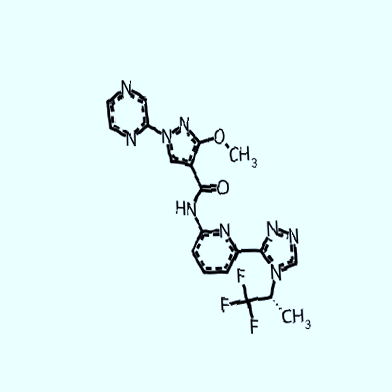 COc1nn(-c2cnccn2)cc1C(=O)Nc1cccc(-c2nncn2[C@H](C)C(F)(F)F)n1